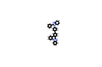 C1=Cc2c(nc(-c3ccccc3)n2-c2ccc(-c3ccc4c(c3)c3ccccc3n3c5ccccc5nc43)cc2)CC1